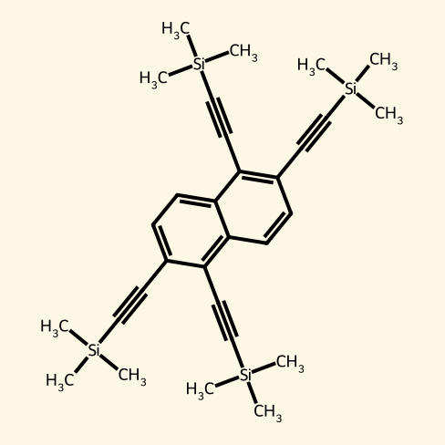 C[Si](C)(C)C#Cc1ccc2c(C#C[Si](C)(C)C)c(C#C[Si](C)(C)C)ccc2c1C#C[Si](C)(C)C